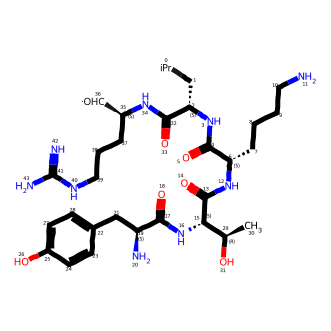 CC(C)C[C@H](NC(=O)[C@H](CCCCN)NC(=O)[C@@H](NC(=O)[C@@H](N)Cc1ccc(O)cc1)[C@@H](C)O)C(=O)N[C@H]([C]=O)CCCNC(=N)N